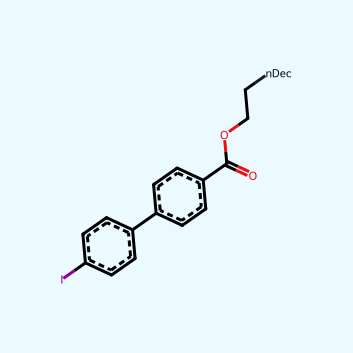 CCCCCCCCCCCCOC(=O)c1ccc(-c2ccc(I)cc2)cc1